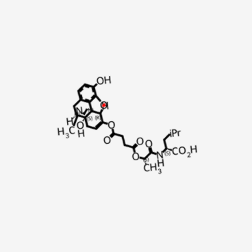 CC(C)C[C@H](NC(=O)[C@H](C)OC(=O)CCC(=O)OC1=CC[C@@]2(O)[C@H]3Cc4ccc(O)c5c4[C@@]2(CCN3C)[C@H]1O5)C(=O)O